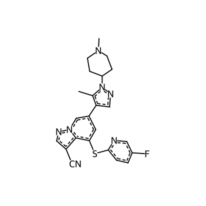 Cc1c(-c2cc(Sc3ccc(F)cn3)c3c(C#N)cnn3c2)cnn1C1CCN(C)CC1